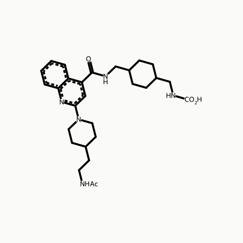 CC(=O)NCCC1CCN(c2cc(C(=O)NCC3CCC(CNC(=O)O)CC3)c3ccccc3n2)CC1